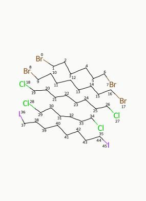 BrCCCCCCBr.BrCCCCCCCCBr.ClCCCCCCCCCl.ClCCCCCCCl.ICCCCCCCCI